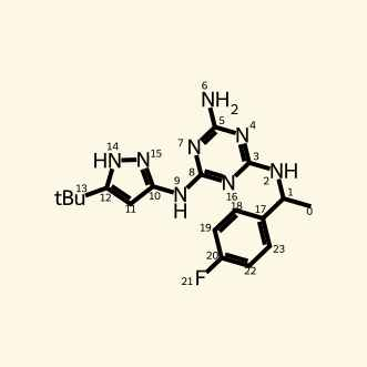 CC(Nc1nc(N)nc(Nc2cc(C(C)(C)C)[nH]n2)n1)c1ccc(F)cc1